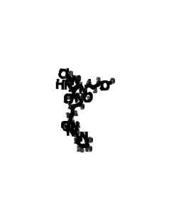 COCCCn1c(=O)n(CCCCc2nc(-c3ccccn3)no2)c(=O)c2[nH]c(Cl)nc21